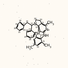 Cc1cc(C)c(Nc2nc(C)c3c(n2)N(C(Cc2ccccc2)c2ccccc2)CC3)c(C)c1